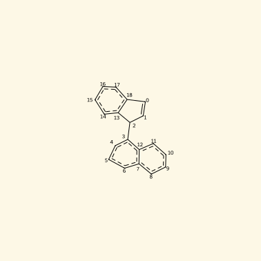 C1=CC(c2cccc3ccccc23)c2ccccc21